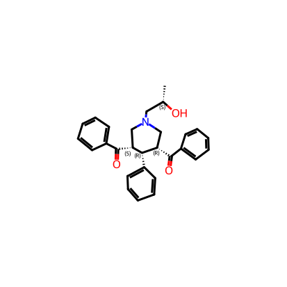 C[C@H](O)CN1C[C@H](C(=O)c2ccccc2)[C@H](c2ccccc2)[C@H](C(=O)c2ccccc2)C1